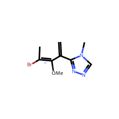 C=C(/C(OC)=C(\C)Br)c1nncn1C